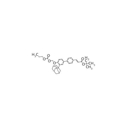 CCCOC(=O)OCOc1ccc(-c2ccc(C=CC(=O)OC(C)(C)C)cc2)cc1C12CC3CC(CC(C3)C1)C2